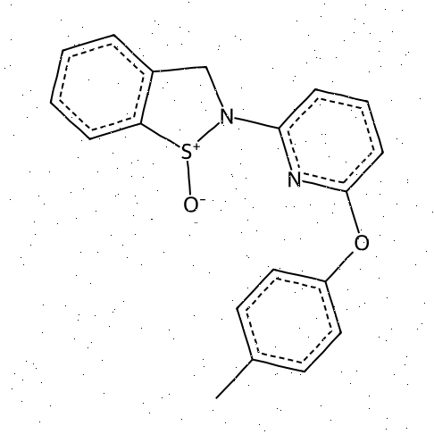 Cc1ccc(Oc2cccc(N3Cc4ccccc4[S+]3[O-])n2)cc1